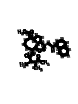 CC(=O)N(C)[C@@H](N)C(=O)N[C@H]1CCCN(C(C)=O)[C@H]2CCC([S+]([O-])CNc3cccc4ccccc34)N2C1=O